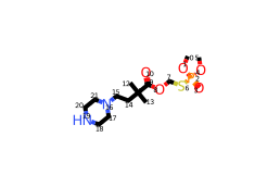 COP(=O)(OC)SCOC(=O)C(C)(C)CCN1CCNCC1